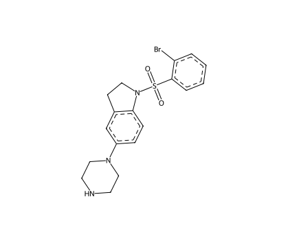 O=S(=O)(c1ccccc1Br)N1CCc2cc(N3CCNCC3)ccc21